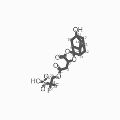 O=C(CC1OC2(OC1=O)C1CC3CC2CC(O)(C3)C1)OCC(F)(F)S(=O)(=O)O